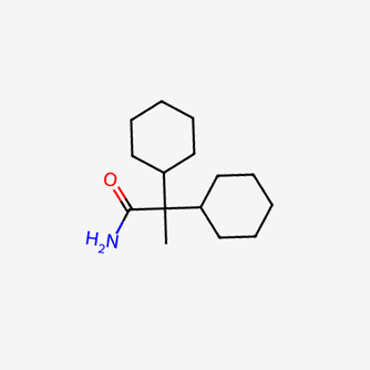 CC(C(N)=O)(C1CCCCC1)C1CCCCC1